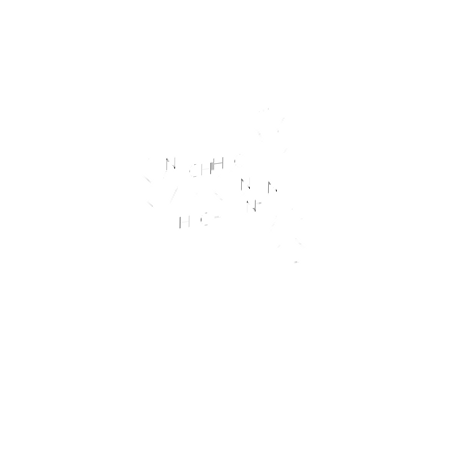 C=C/C(=C\C=C(/C)c1cccc2cccnc12)c1nc(C2=Cc3ccccc3C3CC23)nc(C2C=Cc3ccccc3C2C)n1